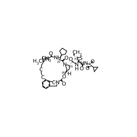 C=C[C@@H]1S[C@]1(NC(=O)[C@@H]1C[C@@H]2CN1C(=O)[C@H](C1CCCC1)NC(=O)NC(C)(C)CCCCc1cccc3c1CN(C3)C(=O)O2)C(=O)NS(=O)(=O)C1CC1